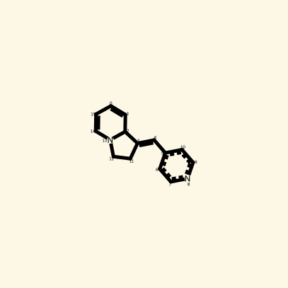 C1=CC2/C(=C/c3ccncc3)CCN2C=C1